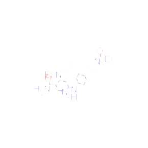 CCC(=O)N1CCC(c2ccc(Nc3cc(N(CC)C4CCCCC4)c(C(N)=O)cn3)cc2)CC1